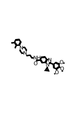 COc1cc(-c2nc3ccc(C(=O)NCCCN4CCN(c5cccc(C)c5C)CC4)cc3n2C2CC2)cc(OC)c1OC